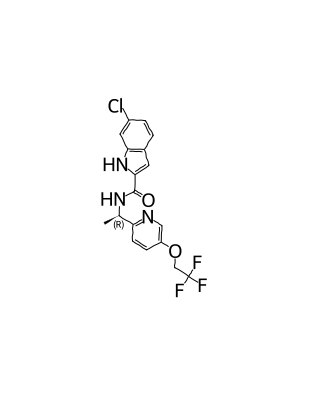 C[C@@H](NC(=O)c1cc2ccc(Cl)cc2[nH]1)c1ccc(OCC(F)(F)F)cn1